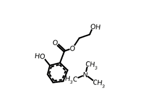 CN(C)C.O=C(OCCO)c1ccccc1O